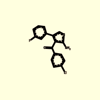 Nc1scc(-c2cccc(F)c2)c1C(=O)c1ccc(Cl)cc1